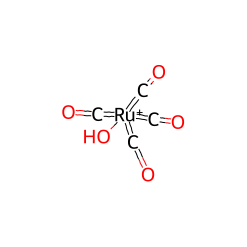 O=[C]=[Ru+]([OH])(=[C]=O)(=[C]=O)=[C]=O